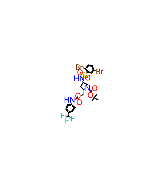 CC(C)(C)OC(=O)N1C[C@H](NS(=O)(=O)c2cc(Br)ccc2Br)C[C@@H]1COC(=O)Nc1ccc(C(F)(F)F)cc1